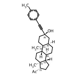 CC(=O)[C@H]1CC[C@H]2[C@@H]3CC[C@@H]4C[C@@](O)(C#Cc5ccc(C)cc5)CC[C@]4(C)[C@H]3CC[C@]12C